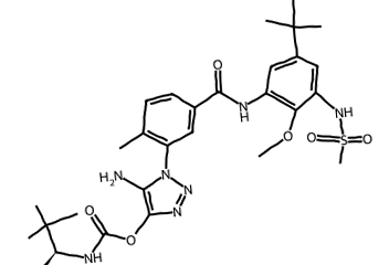 COc1c(NC(=O)c2ccc(C)c(-n3nnc(OC(=O)N[C@@H](C)C(C)(C)C)c3N)c2)cc(C(C)(C)C)cc1NS(C)(=O)=O